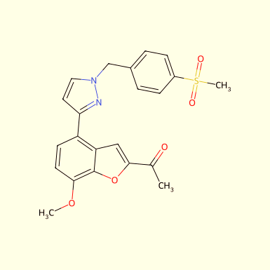 COc1ccc(-c2ccn(Cc3ccc(S(C)(=O)=O)cc3)n2)c2cc(C(C)=O)oc12